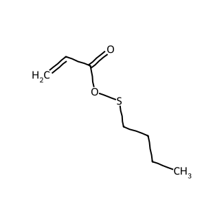 C=CC(=O)OSCCCC